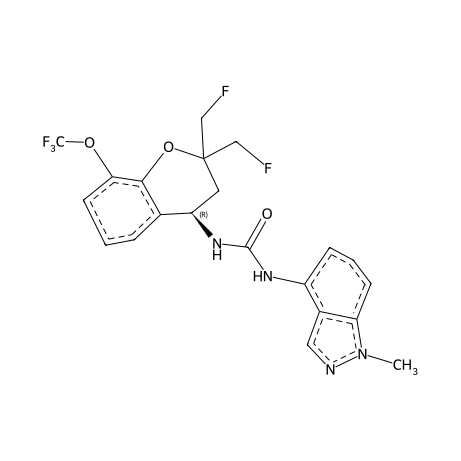 Cn1ncc2c(NC(=O)N[C@@H]3CC(CF)(CF)Oc4c(OC(F)(F)F)cccc43)cccc21